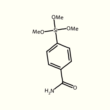 CO[Si](OC)(OC)c1ccc(C(N)=O)cc1